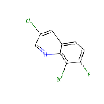 Fc1ccc2cc(Cl)cnc2c1Br